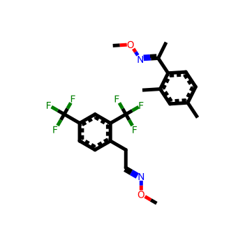 CON=C(C)c1ccc(C)cc1C.CON=CCc1ccc(C(F)(F)F)cc1C(F)(F)F